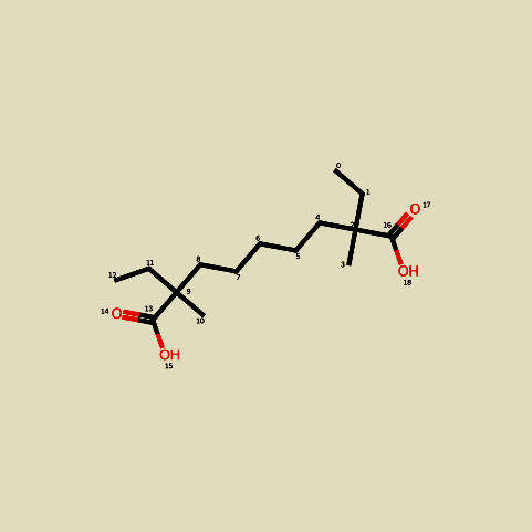 CCC(C)(CCCCCC(C)(CC)C(=O)O)C(=O)O